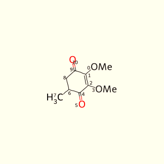 COC1=C(OC)C(=O)C(C)CC1=O